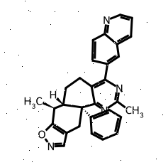 Cc1nc(-c2ccc3ncccc3c2)c2c(n1)[C@@]1(c3ccccc3)Cc3cnoc3[C@@H](C)[C@@H]1CC2